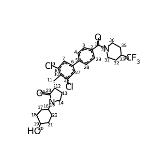 O=C(c1ccc(-c2cc(Cl)c(C[C@@H]3CCN(C4CCC(O)CC4)C3=O)c(Cl)c2)cc1)N1CCC(C(F)(F)F)CC1